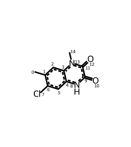 Cc1cc2c(cc1Cl)[nH]c(=O)c(=O)n2C